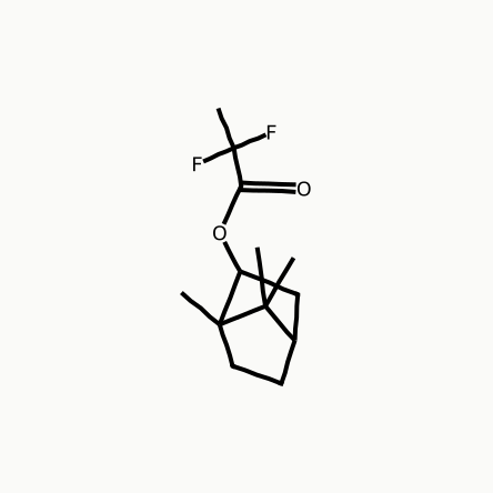 CC(F)(F)C(=O)OC1CC2CCC1(C)C2(C)C